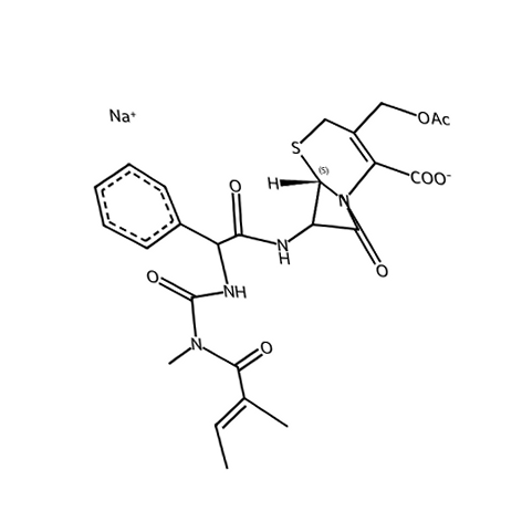 CC=C(C)C(=O)N(C)C(=O)NC(C(=O)NC1C(=O)N2C(C(=O)[O-])=C(COC(C)=O)CS[C@@H]12)c1ccccc1.[Na+]